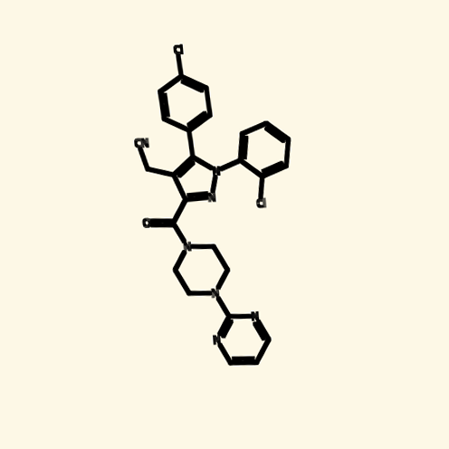 N#CCc1c(C(=O)N2CCN(c3ncccn3)CC2)nn(-c2ccccc2Cl)c1-c1ccc(Cl)cc1